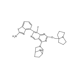 Nc1nc2c(-c3ncc4c(N5CC6CCC(C5)N6)nc(OCC56CCCN5CCC6)nc4c3F)cccc2s1